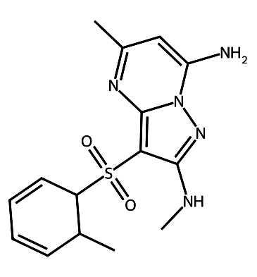 CNc1nn2c(N)cc(C)nc2c1S(=O)(=O)C1C=CC=CC1C